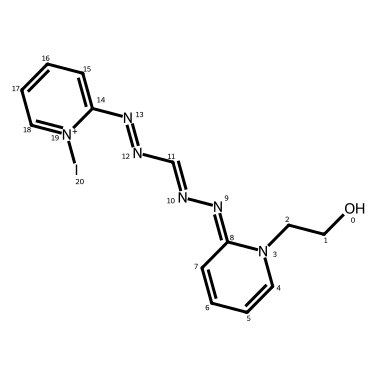 OCCn1cccc\c1=N/N=C/N=N/c1cccc[n+]1I